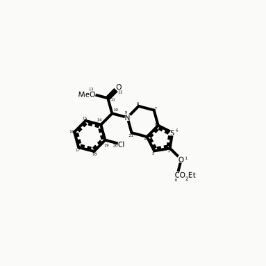 CCOC(=O)Oc1cc2c(s1)CCN(C(C(=O)OC)c1ccccc1Cl)C2